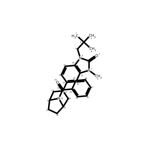 Cn1c(=O)n(CC(C)(C)C)c2ccc(N3CC4CCC(C3)N4C(=O)c3ccccc3)nc21